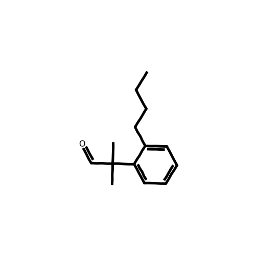 CCCCc1ccccc1C(C)(C)C=O